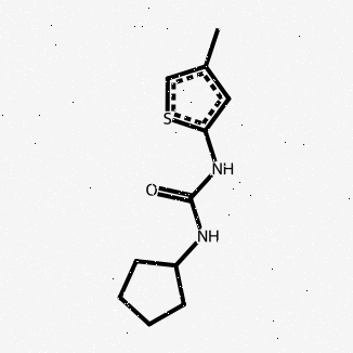 Cc1csc(NC(=O)NC2CCCC2)c1